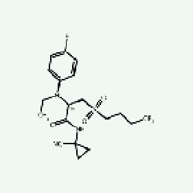 N#CC1(NC(=O)[C@H](CS(=O)(=O)CCCC(F)(F)F)N(CC(F)(F)F)c2ccc(F)cc2)CC1